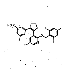 O=C(O)c1cc(F)cc(C2=C(c3cc(Cl)cnc3OCc3c(F)cc(F)cc3F)CCC2)c1